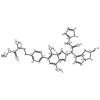 Cc1cc(-c2ccc(CCN(C)C(=O)OC(C)(C)C)cc2)c(C)c2nn(C(C(=O)Nc3nccs3)c3ncn4c3C[C@@H](F)C4)cc12